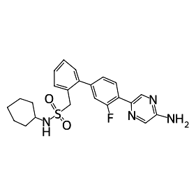 Nc1cnc(-c2ccc(-c3ccccc3CS(=O)(=O)NC3CCCCC3)cc2F)cn1